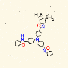 Bc1cc2nc(-c3ccc(N(c4ccc(-c5nc6ccccc6o5)cc4)c4ccc(C5Nc6ccccc6O5)cc4)cc3)oc2cc1B